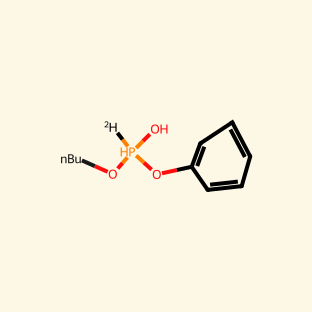 [2H][PH](O)(OCCCC)Oc1ccccc1